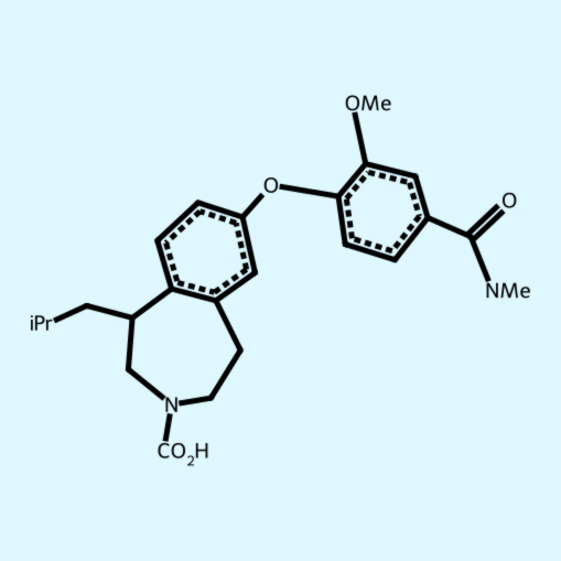 CNC(=O)c1ccc(Oc2ccc3c(c2)CCN(C(=O)O)CC3CC(C)C)c(OC)c1